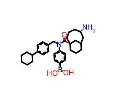 N[C@@H]1CCC[C@@]2(C(=O)N(Cc3ccc(C4CCCCC4)cc3)c3ccc(B(O)O)cc3)CCCC(C1)C2